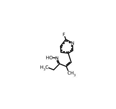 CCC(=NO)C(C)=Cc1ccc(F)nc1